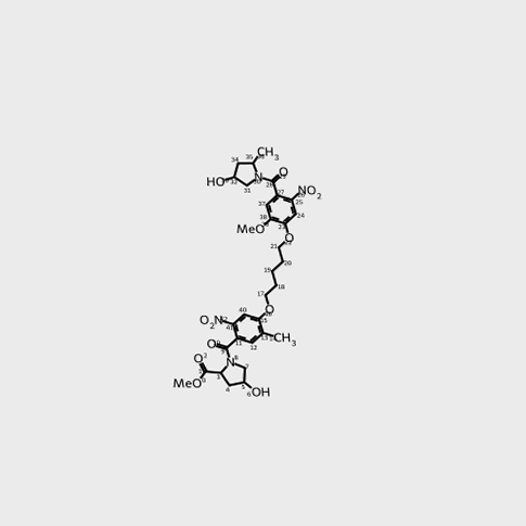 COC(=O)C1CC(O)CN1C(=O)c1cc(C)c(OCCCCCOc2cc([N+](=O)[O-])c(C(=O)N3CC(O)CC3C)cc2OC)cc1[N+](=O)[O-]